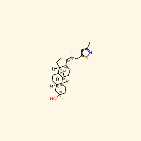 Cc1cc(C[C@@H](C)[C@H]2CC[C@H]3[C@@H]4CC[C@@H]5C[C@](C)(O)CC[C@@H]5[C@H]4CC[C@]23C)sn1